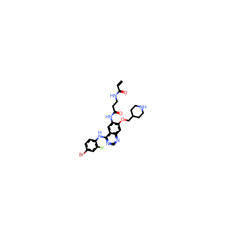 C=CC(=O)NCCC(=O)Nc1cc2c(Nc3ccc(Br)cc3F)ncnc2cc1OCC1CCNCC1